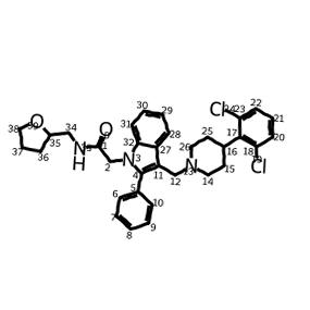 O=C(Cn1c(-c2ccccc2)c(CN2CCC(c3c(Cl)cccc3Cl)CC2)c2ccccc21)NCC1CCCO1